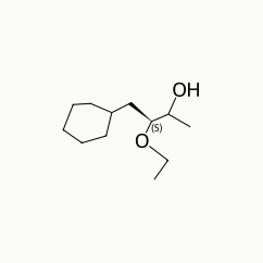 CCO[C@@H](CC1CCCCC1)C(C)O